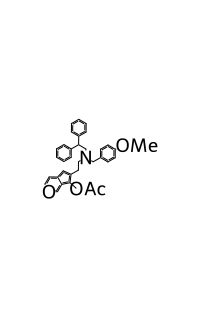 COc1ccc(CN(CCc2cc3ccocc-3c2OC(C)=O)CC(c2ccccc2)c2ccccc2)cc1